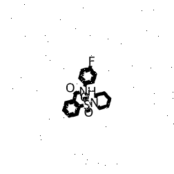 O=C(Nc1ccc(F)cc1)c1ccccc1S(=O)(=O)N1CCCCC1